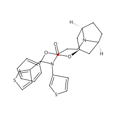 O=C(O[C@H]1C[C@H]2CC[C@@H](C1)N2CCCOc1ccccc1)N(Cc1ccsc1)c1ccsc1